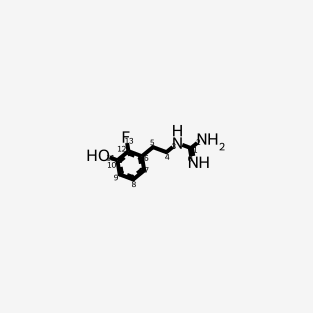 N=C(N)NCCc1cccc(O)c1F